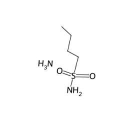 CCCCS(N)(=O)=O.N